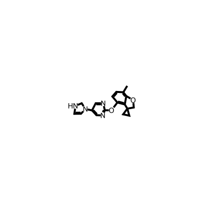 Cc1ccc(Oc2ncc(N3C=CNC3)cn2)c2c1OCC21CC1